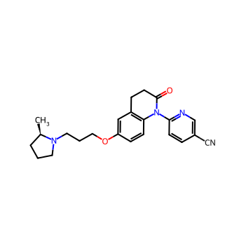 C[C@@H]1CCCN1CCCOc1ccc2c(c1)CCC(=O)N2c1ccc(C#N)cn1